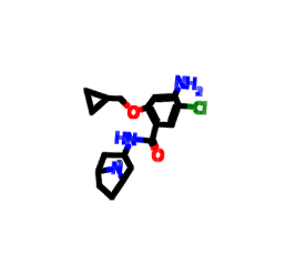 CN1C2CCC1CC(NC(=O)c1cc(Cl)c(N)cc1OCC1CC1)C2